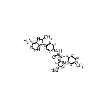 Cc1nc2c(N)ncnc2n1-c1ccc(NC(=O)Nc2cc(C(C)(C)C)nn2-c2cccc(C(F)(F)F)c2)cc1